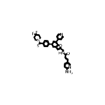 Nc1ccc(C=CC(=O)NCc2cc3cc(-c4ccc(C(=S)N5CCC(F)(F)CC5)cc4)cc(-c4ccncc4)c3o2)cn1